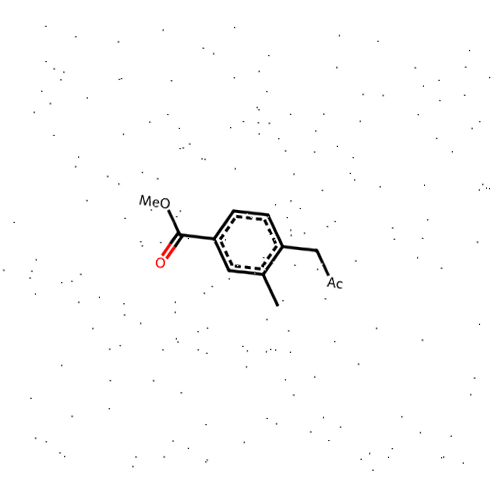 COC(=O)c1ccc(CC(C)=O)c(C)c1